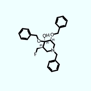 O[C@@]1(OCc2ccccc2)[C@H](CF)CN(Cc2ccccc2)C[C@H]1OCc1ccccc1